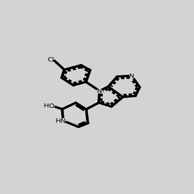 OC1C=C(c2cc3ccncc3n2-c2ccc(Cl)cc2)C=CN1